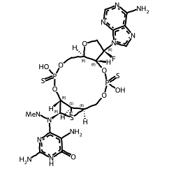 CNN(c1nc(N)[nH]c(=O)c1N)[C@@H]1S[C@@H]2COP(O)(=S)O[C@@H]3[C@@H](COP(O)(=S)O[C@@H]1[C@@H]2F)OC[C@]3(F)n1cnc2c(N)ncnc21